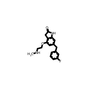 CNCCOc1cc(Cc2cccc(F)c2)cc2c1CC(=O)N2